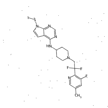 Cc1cnc(C(F)(F)CN2CCC(Nc3ncnc4c3ccn4SI)CC2)c(F)c1